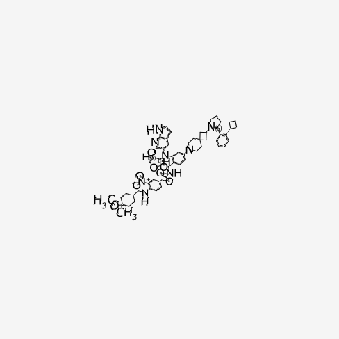 COC1(C)CCC(CNc2ccc(S(=O)(=O)NC(=O)c3ccc(N4CCC5(CC4)CC(N4CCC[C@H]4c4ccccc4C4CCC4)C5)cc3N3c4cc5cc[nH]c5nc4O[C@H]4COC[C@@H]43)cc2[N+](=O)[O-])CC1